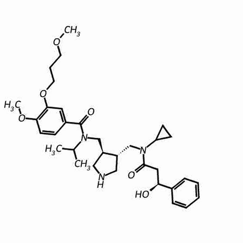 COCCCOc1cc(C(=O)N(C[C@@H]2CNC[C@H]2CN(C(=O)C[C@H](O)c2ccccc2)C2CC2)C(C)C)ccc1OC